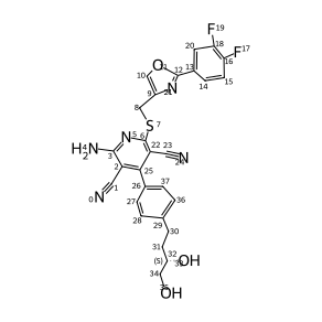 N#Cc1c(N)nc(SCc2coc(-c3ccc(F)c(F)c3)n2)c(C#N)c1-c1ccc(CC[C@H](O)CO)cc1